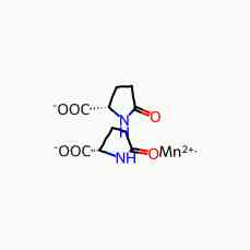 O=C1CC[C@@H](C(=O)[O-])N1.O=C1CC[C@@H](C(=O)[O-])N1.[Mn+2]